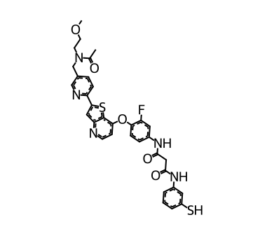 COCCN(Cc1ccc(-c2cc3nccc(Oc4ccc(NC(=O)CC(=O)Nc5cccc(S)c5)cc4F)c3s2)nc1)C(C)=O